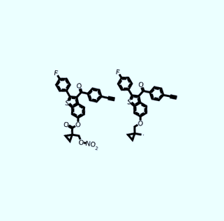 C#Cc1ccc(C(=O)c2c(-c3ccc(F)cc3)sc3cc(OC(=O)C4(CO[N+](=O)[O-])CC4)ccc23)cc1.C#Cc1ccc(C(=O)c2c(-c3ccc(F)cc3)sc3cc(OCC4([CH2])CC4)ccc23)cc1